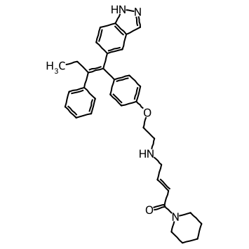 CC/C(=C(/c1ccc(OCCNC/C=C/C(=O)N2CCCCC2)cc1)c1ccc2[nH]ncc2c1)c1ccccc1